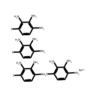 Nc1ccc([S-])c(N)c1N.Nc1ccc([S-])c(N)c1N.Nc1ccc([S-])c(N)c1N.Nc1ccc([S-])c(N)c1N.[Re+4]